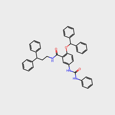 O=C(Nc1ccccc1)Nc1ccc(OC(c2ccccc2)c2ccccc2)c(C(=O)NCCC(c2ccccc2)c2ccccc2)c1